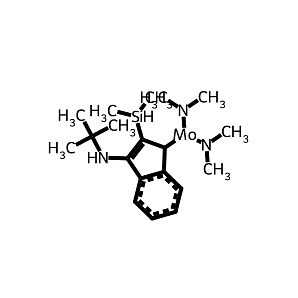 C[N](C)[Mo]([CH]1C([SiH](C)C)=C(NC(C)(C)C)c2ccccc21)[N](C)C